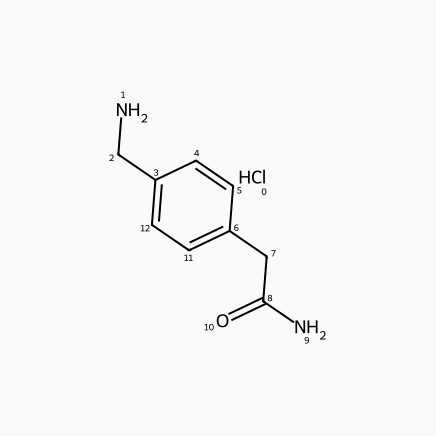 Cl.NCc1ccc(CC(N)=O)cc1